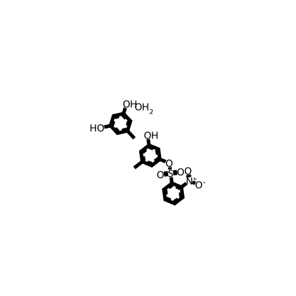 Cc1cc(O)cc(O)c1.Cc1cc(O)cc(OS(=O)(=O)c2ccccc2[N+](=O)[O-])c1.O